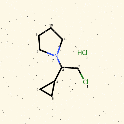 Cl.ClCC(C1CC1)N1CCCC1